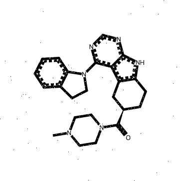 CN1CCN(C(=O)[C@@H]2CCc3[nH]c4ncnc(N5CCc6ccccc65)c4c3C2)CC1